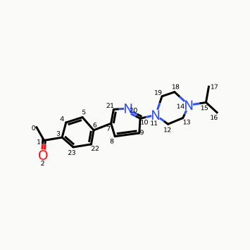 CC(=O)c1ccc(-c2ccc(N3CCN(C(C)C)CC3)nc2)cc1